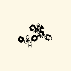 O=C(Nc1ccc(-c2nc(N3CCOCC3)cc(C3(S(=O)(=O)c4ccccn4)CC3)n2)cc1)Oc1ccccc1